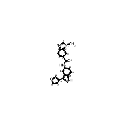 Cn1cnc2ccc(C(=O)Nc3ccc4[nH]nc(-c5ccoc5)c4c3)cc21